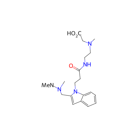 CNN(C)Cc1cc2ccccc2n1CCC(=O)NCCN(C)CC(=O)O